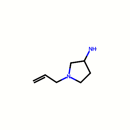 C=CCN1CCC([NH])C1